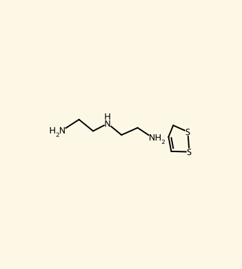 C1=CSSC1.NCCNCCN